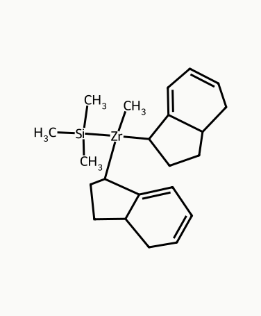 C[Si](C)(C)[Zr]([CH3])([CH]1CCC2CC=CC=C21)[CH]1CCC2CC=CC=C21